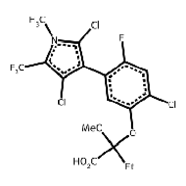 CCC(OC)(Oc1cc(-c2c(Cl)c(C(F)(F)F)n(C)c2Cl)c(F)cc1Cl)C(=O)O